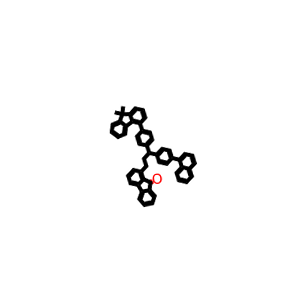 CC1(C)c2ccccc2-c2c(-c3ccc(C(CCc4cccc5c4C(=O)c4ccccc4-5)c4ccc(-c5cccc6ccccc56)cc4)cc3)cccc21